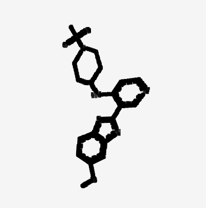 COc1ccc2sc(-c3cnccc3NC3CCN(S(C)(=O)=O)CC3)nc2c1